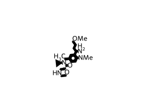 CNc1ccc([C@@H](C)N(C(=O)[C@H]2CNCCO2)C2CC2)cc1C(N)CCCOC